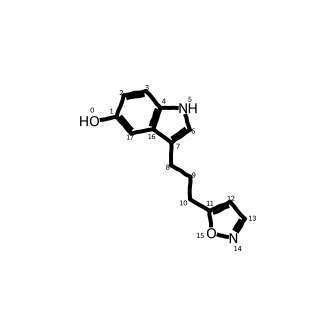 Oc1ccc2[nH]cc(CCCc3ccno3)c2c1